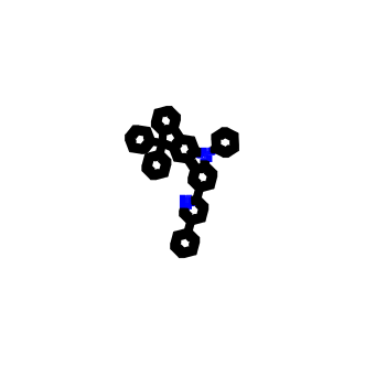 c1ccc(-c2ccc(-c3ccc4c(c3)c3cc5c(cc3n4-c3ccccc3)-c3ccccc3C5(c3ccccc3)c3ccccc3)nc2)cc1